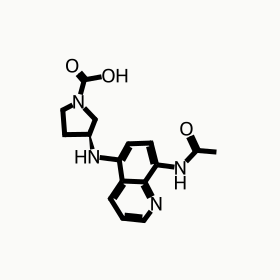 CC(=O)Nc1ccc(N[C@H]2CCN(C(=O)O)C2)c2cccnc12